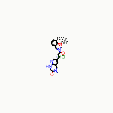 CCCOc1c(CN(C)C(=O)/C=C/c2cnc3c(c2)CN(C)C(=O)CN3)cccc1OC.Cl